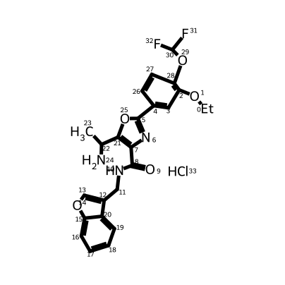 CCOc1cc(-c2nc(C(=O)NCc3coc4ccccc34)c(C(C)N)o2)ccc1OC(F)F.Cl